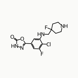 O=c1[nH]nc(-c2cc(F)c(Cl)c(NCC3(F)CCNCC3)c2)o1